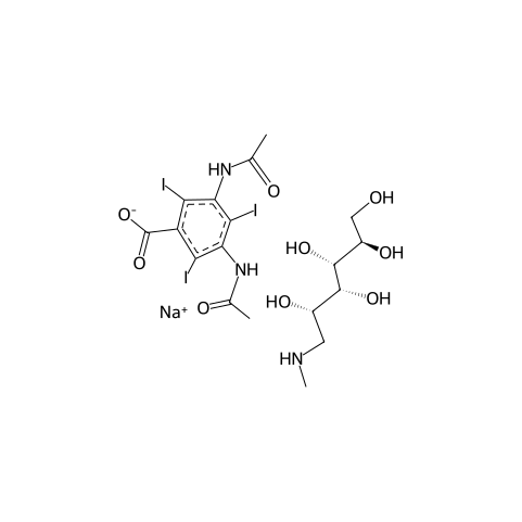 CC(=O)Nc1c(I)c(NC(C)=O)c(I)c(C(=O)[O-])c1I.CNC[C@H](O)[C@@H](O)[C@H](O)[C@H](O)CO.[Na+]